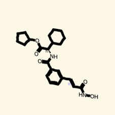 O=C(/C=C/c1cccc(C(=O)N[C@H](C(=O)OC2CCCC2)C2CCCCC2)c1)NO